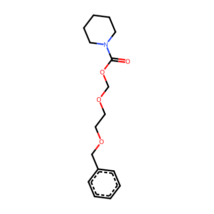 O=C(OCOCCOCc1ccccc1)N1CCCCC1